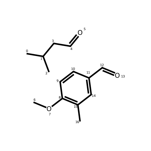 CC(C)CC=O.COc1ccc(C=O)cc1C